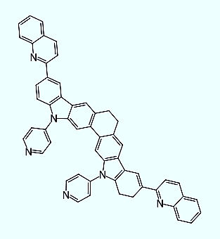 C1=C(c2ccc3ccccc3n2)CCc2c1c1cc3c(cc1n2-c1ccncc1)-c1cc2c(cc1CC3)c1cc(-c3ccc4ccccc4n3)ccc1n2-c1ccncc1